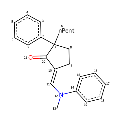 CCCCCC1(c2ccccc2)CCC(=CN(C)c2ccccc2)C1=O